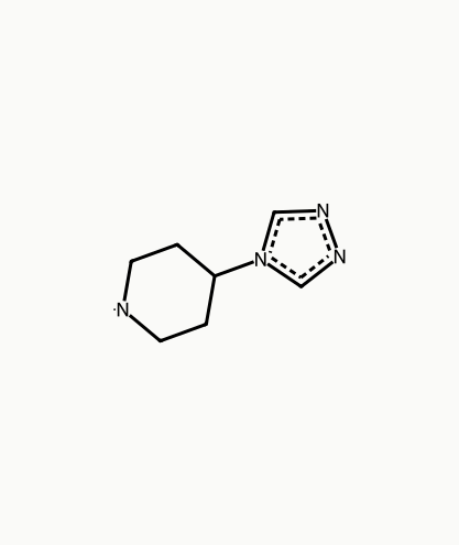 c1nncn1C1CC[N]CC1